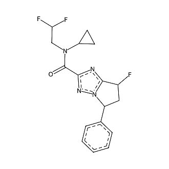 O=C(c1nc2n(n1)C(c1ccccc1)CC2F)N(CC(F)F)C1CC1